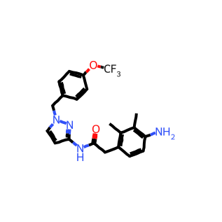 Cc1c(N)ccc(CC(=O)Nc2ccn(Cc3ccc(OC(F)(F)F)cc3)n2)c1C